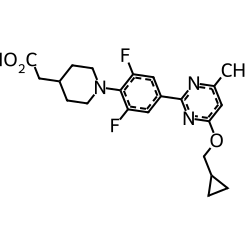 Cc1cc(OCC2CC2)nc(-c2cc(F)c(N3CCC(CC(=O)O)CC3)c(F)c2)n1